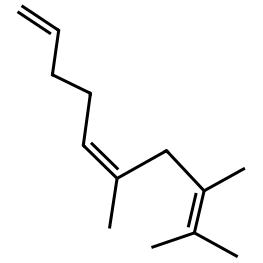 C=CCCC=C(C)CC(C)=C(C)C